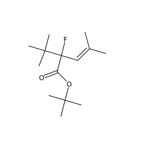 CC(C)=CC(F)(C(=O)OC(C)(C)C)C(C)(C)C